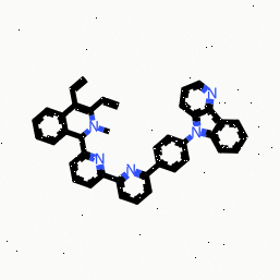 C=CC1=C(C=C)N(C)C(c2cccc(-c3cccc(-c4ccc(-n5c6ccccc6c6ncccc65)cc4)n3)n2)c2ccccc21